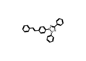 C(=Cc1ccc(-n2nc(-c3ccccc3)n[n+]2-c2ccccc2)cc1)c1ccccc1